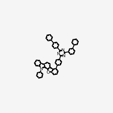 c1ccc(-c2ccc(-c3nc(-c4ccc(-c5cccc6oc7c(ccc8c9ccccc9n(-c9ccccc9)c87)c56)cc4)nc(-c4cccc(-c5ccccc5)c4)n3)cc2)cc1